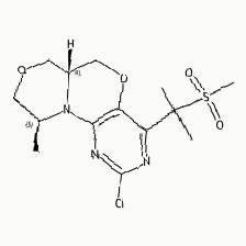 C[C@H]1COC[C@@H]2COc3c(nc(Cl)nc3C(C)(C)S(C)(=O)=O)N21